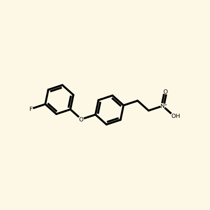 O=[N+](O)CCc1ccc(Oc2cccc(F)c2)cc1